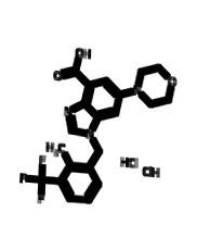 Cc1c(Cn2cnc3c(C(=O)O)cc(N4CCOCC4)cc32)cccc1C(F)(F)F.Cl.Cl